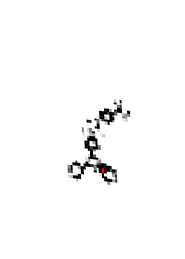 CN(C)C(=O)c1ccc(NC(=O)Nc2ccc(-c3nc(C4CCOCC4)nc(N4C5CCC4COC5)n3)cc2)cc1